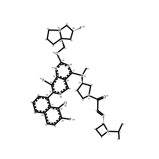 CC(C)N1CC[C@@H]1/C=C/C(=O)N1CC[C@@H](N(C)c2nc(OC[C@@]34CCCN3C[C@H](F)C4)nc3c(F)c(-c4cccc5ccc(F)c(Cl)c45)ncc23)C1